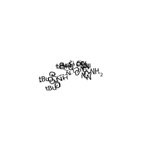 CC(C)(C)OC(=O)N[C@H](CCN(CCO)C[C@H]1O[C@@H](n2c(Br)nc3c(N)ncnc32)[C@@H](O[Si](C)(C)C(C)(C)C)C1O[Si](C)(C)C(C)(C)C)C(=O)OC(C)(C)C